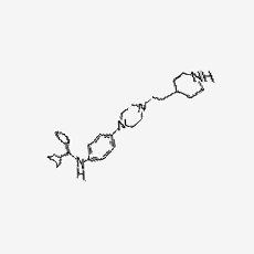 O=C(Nc1ccc(N2CCN(CCC3CCNCC3)CC2)cc1)C1CC1